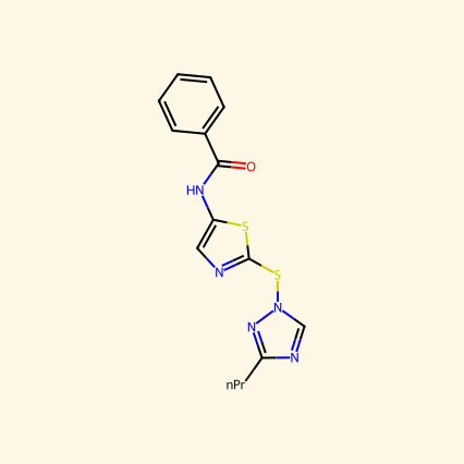 CCCc1ncn(Sc2ncc(NC(=O)c3ccccc3)s2)n1